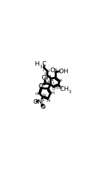 CCCCC1C(C(=O)O)=CC(C)=CC1(C(=O)O)c1ccc([N+](=O)[O-])cc1